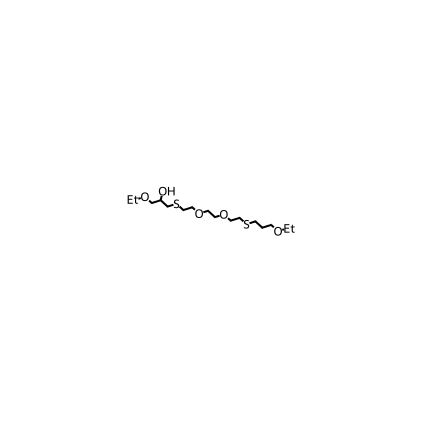 CCOCCCSCCOCCOCCSCC(O)COCC